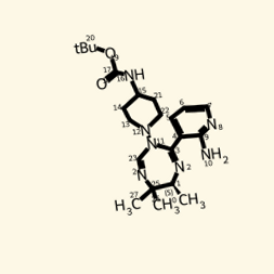 C[C@@H]1N=C(c2cccnc2N)N(N2CCC(NC(=O)OC(C)(C)C)CC2)C=NC1(C)C